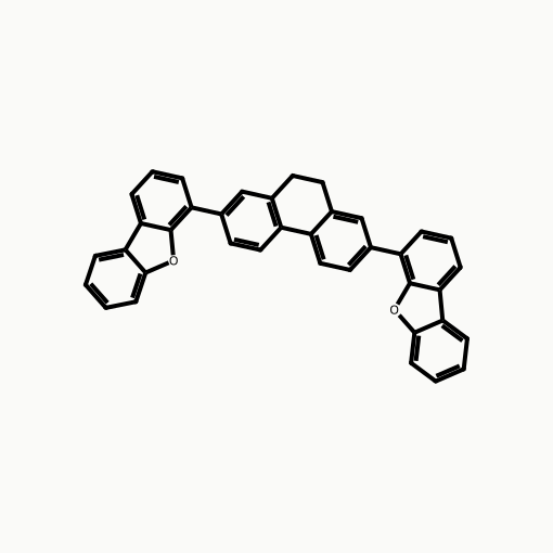 c1ccc2c(c1)oc1c(-c3ccc4c(c3)CCc3cc(-c5cccc6c5oc5ccccc56)ccc3-4)cccc12